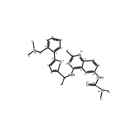 Cc1nc(NC(C)c2ccc(-c3ccccc3CN(C)C)s2)c2cc(NC(=O)N(C)C)ccc2n1